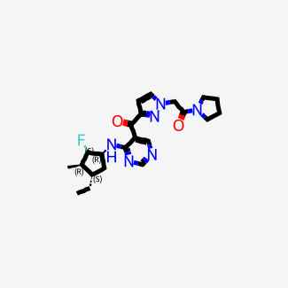 CC[C@H]1C[C@@H](Nc2ncncc2C(=O)c2ccn(CC(=O)N3CCCC3)n2)[C@@H](F)[C@@H]1C